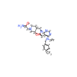 CC(C)N(Cc1ccc(C(F)(F)F)cc1)c1ncnc2c1ccn2CC1CCN(CC(N)=O)C[C@@H]1O